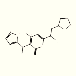 CCC(CC1CCCO1)c1cc(O)c(C(CC)c2cccs2)c(=O)o1